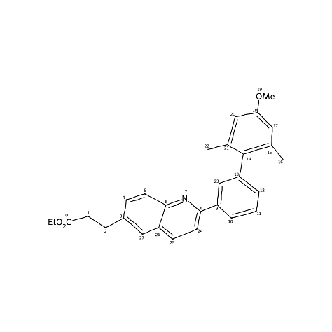 CCOC(=O)CCc1ccc2nc(-c3cccc(-c4c(C)cc(OC)cc4C)c3)ccc2c1